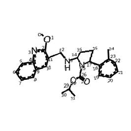 COc1nc2ccccc2cc1CNC1CCC(c2ccccc2C)N1C(=O)OC(C)C